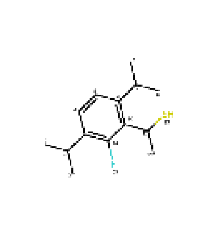 CC(C)c1ccc(C(C)C)c(C(C)S)c1F